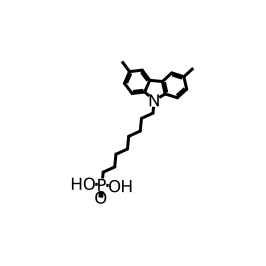 Cc1ccc2c(c1)c1cc(C)ccc1n2CCCCCCCCP(=O)(O)O